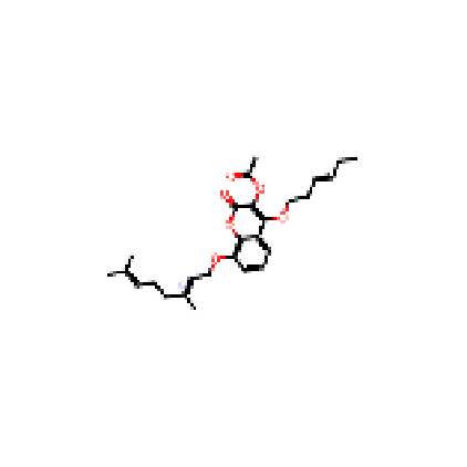 CCC=CCCOc1c(OC(C)=O)c(=O)oc2c(OC/C=C(\C)CCC=C(C)C)cccc12